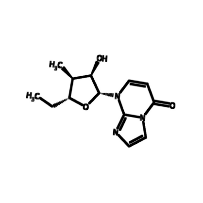 CC[C@H]1O[C@@H](n2ccc(=O)n3ccnc23)[C@H](O)[C@@H]1C